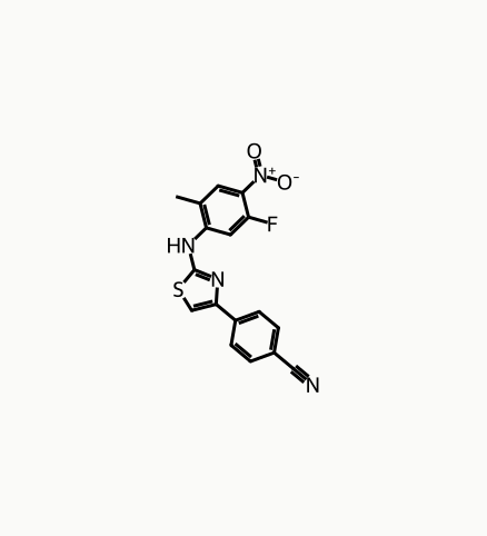 Cc1cc([N+](=O)[O-])c(F)cc1Nc1nc(-c2ccc(C#N)cc2)cs1